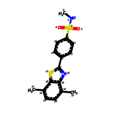 CNS(=O)(=O)c1ccc(-c2nc3c(C)ccc(C)c3s2)cc1